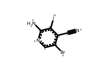 N#Cc1c(Br)cnc(N)c1I